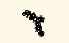 CC1=C(N2CCC3(CCC(N(Cc4ccc(-n5cnnn5)nn4)Cc4ncco4)CC3)C2=O)COC1=O